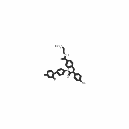 CC(C)(C)c1ccc(C(Cc2ccc(C(=O)NCCS(=O)(=O)O)cc2)C(=O)Nc2ccc(-c3ccc(F)cc3F)cc2)cc1